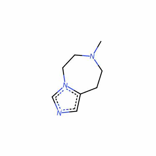 CN1CCc2cncn2CC1